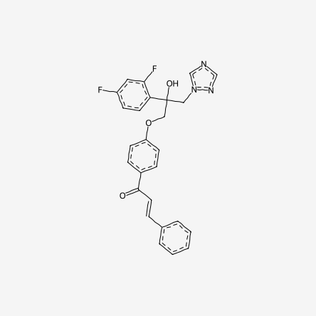 O=C(C=Cc1ccccc1)c1ccc(OCC(O)(Cn2cncn2)c2ccc(F)cc2F)cc1